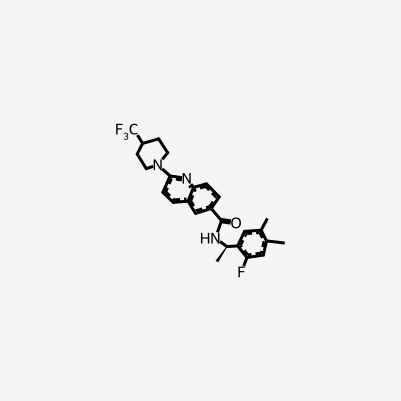 Cc1cc(F)c([C@@H](C)NC(=O)c2ccc3nc(N4CCC(C(F)(F)F)CC4)ccc3c2)cc1C